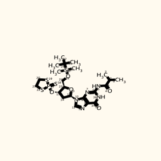 CC(C)C(=O)Nc1nc2c(ncn2[C@H]2C[C@H](OP3(=S)SCCS3)[C@@H](CO[Si](C)(C)C(C)(C)C)O2)c(=O)[nH]1